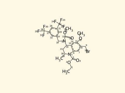 CCOC(=O)N1c2cc(CBr)c(OC)cc2C(N(Cc2cc(C(F)(F)F)cc(C(F)(F)F)c2)C(=O)OC)CC1C